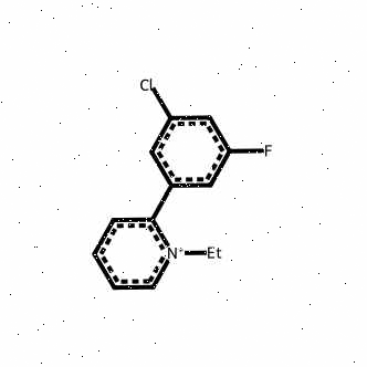 CC[n+]1ccccc1-c1cc(F)cc(Cl)c1